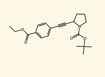 CCOC(=O)c1ccc(C#CC2CCCN2C(=O)OC(C)(C)C)cc1